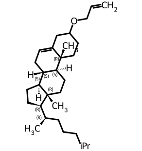 C=CCOC1CC[C@@]2(C)C(=CC[C@H]3[C@@H]4CC[C@H]([C@H](C)CCCC(C)C)[C@@]4(C)CC[C@@H]32)C1